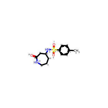 Cc1ccc(S(=O)(=O)NC2CCCNC(=O)C2)cc1